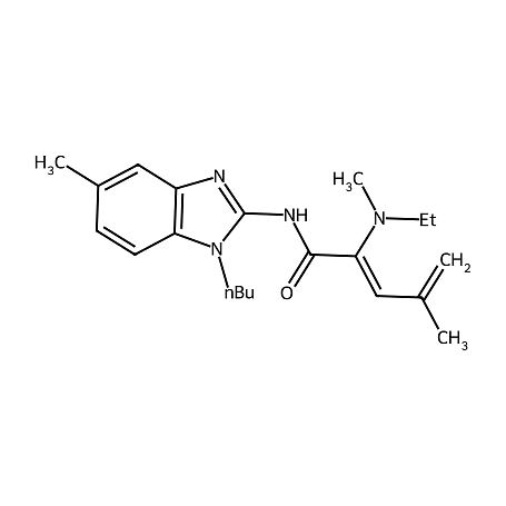 C=C(C)/C=C(/C(=O)Nc1nc2cc(C)ccc2n1CCCC)N(C)CC